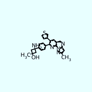 Cc1cc2ncc3cc(-c4ccsc4)c(-c4ccc([C@]5(N)C[C@](C)(O)C5)cc4)nc3n2n1